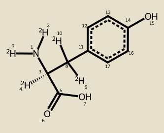 [2H]N([2H])[C@]([2H])(C(=O)O)C([2H])([2H])c1ccc(O)cc1